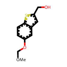 COCOc1ccc2sc(CO)cc2c1